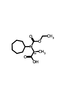 CCOC(=O)N(C1CCCCCC1)[C@@H](C)C(=O)O